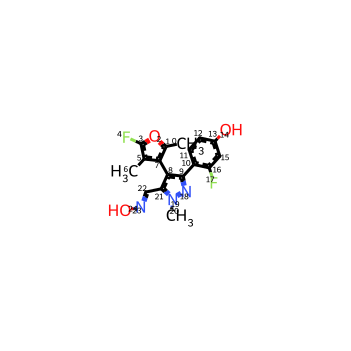 Cc1oc(F)c(C)c1-c1c(-c2ccc(O)cc2F)nn(C)c1C=NO